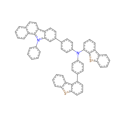 c1ccc(-n2c3cc(-c4ccc(N(c5ccc(-c6cccc7sc8ccccc8c67)cc5)c5cccc6c5sc5ccccc56)cc4)ccc3c3ccc4ccccc4c32)cc1